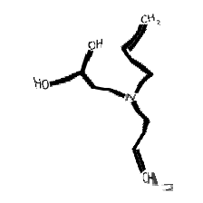 C=CCN(CC=C)CC(O)O